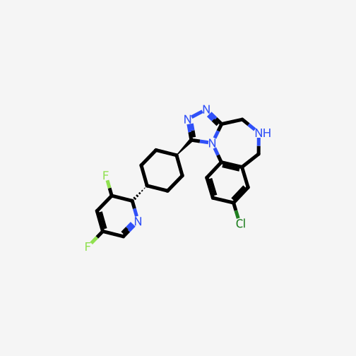 FC1=CC(F)C([C@H]2CC[C@H](c3nnc4n3-c3ccc(Cl)cc3CNC4)CC2)N=C1